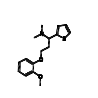 COc1ccccc1OCCC(c1cccs1)N(C)C